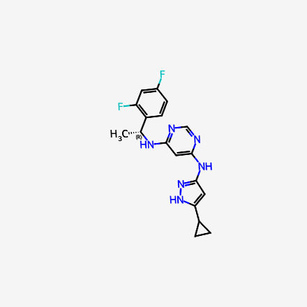 C[C@@H](Nc1cc(Nc2cc(C3CC3)[nH]n2)ncn1)c1ccc(F)cc1F